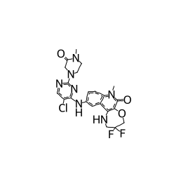 CN1CCN(c2ncc(Cl)c(Nc3ccc4c(c3)c3c(c(=O)n4C)OCC(F)(F)CN3)n2)CC1=O